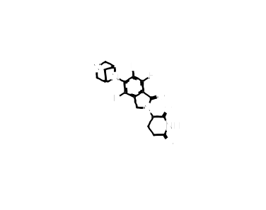 O=C1CCC(N2Cc3c(F)c(N4C5CNCC4C5)c(F)c(F)c3C2=O)C(=O)N1